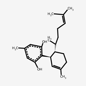 CC(C)=CCCC(C)[C@@H]1CCC(C)=C[C@H]1c1c(O)cc(C)cc1O